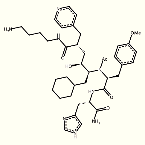 COc1ccc(C[C@@H](C(=O)N[C@@H](Cc2c[nH]cn2)C(N)=O)N(C(C)=O)[C@@H](CC2CCCCC2)[C@@H](O)C[C@@H](Cc2ccncc2)C(=O)NCCCCN)cc1